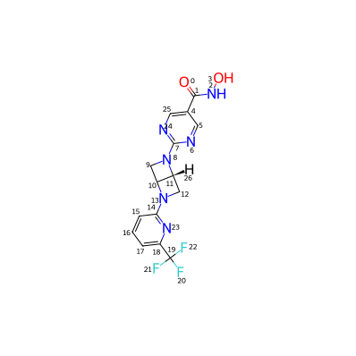 O=C(NO)c1cnc(N2CC3[C@H]2CN3c2cccc(C(F)(F)F)n2)nc1